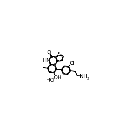 Cc1cc(O)c(-c2ccc(CCN)c(Cl)c2)c2c1[nH]c(=O)c1sccc12.Cl